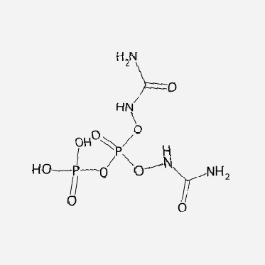 NC(=O)NOP(=O)(ONC(N)=O)OP(=O)(O)O